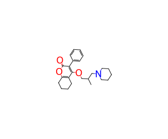 CC(COc1c2c(oc(=O)c1-c1ccccc1)CCCC2)CN1CCCCC1